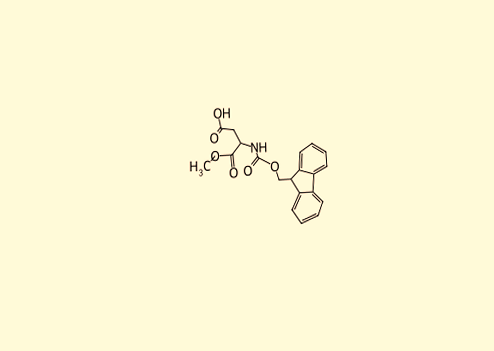 COC(=O)C(CC(=O)O)NC(=O)OCC1c2ccccc2-c2ccccc21